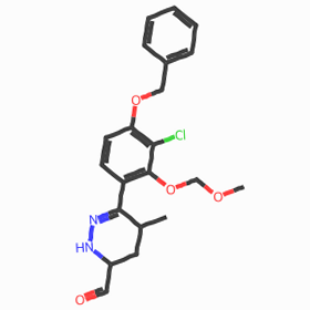 COCOc1c(C2=NNC(C=O)CC2C)ccc(OCc2ccccc2)c1Cl